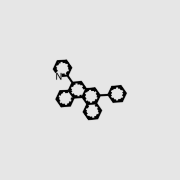 c1ccc(-c2cc3cc(-c4ccccn4)c4ccccc4c3c3ccccc23)cc1